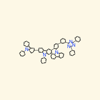 c1ccc(-c2nc(-c3ccccc3)nc(-c3cccc(-c4ccc(-c5ccc6c(c5)c5ccc(-c7ccc8c(c7)c7ccccc7n8-c7ccccc7)cc5n6-c5ccccc5)c(-n5c6ccccc6c6ccccc65)c4)c3)n2)cc1